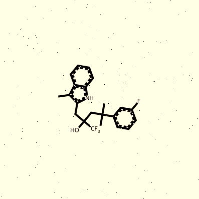 Cc1c(CC(O)(CC(C)(C)c2cccc(F)c2)C(F)(F)F)[nH]c2ccccc12